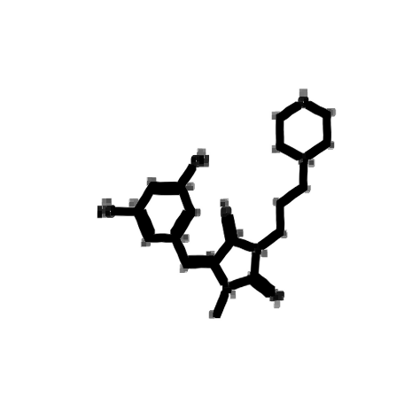 CN1C(=[Se])N(CCCN2CCOCC2)C(=O)C1=Cc1cc(O)cc(O)c1